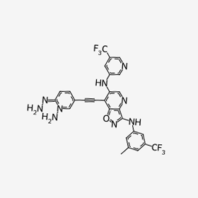 Cc1cc(Nc2noc3c(C#Cc4cc/c(=N/N)n(N)c4)c(Nc4cncc(C(F)(F)F)c4)cnc23)cc(C(F)(F)F)c1